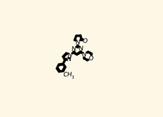 Cc1cccc(-c2ccn(-c3cc(N4CCOCC4)nc(N4CCCC4=O)n3)n2)c1